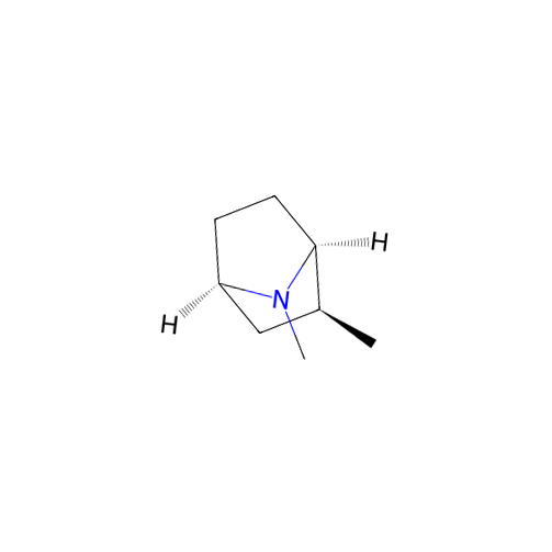 C[C@H]1C[C@H]2CC[C@@H]1N2C